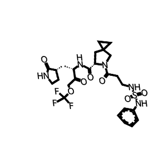 O=C1NCC[C@H]1C[C@H](NC(=O)[C@@H]1CC2(CC2)CN1C(=O)CCNS(=O)(=O)Nc1ccccc1)C(=O)COC(F)(F)F